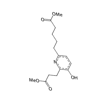 COC(=O)CCCCc1ccc(O)c(CCC(=O)OC)n1